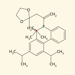 C=Cc1cc(C(C)C)cc(C(C)C)c1-c1ccccc1P1C(=C)CC2(CC1(C)C)OCCO2